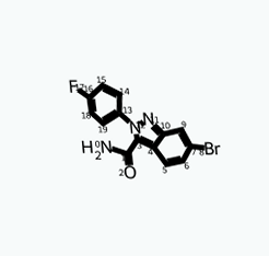 NC(=O)c1c2ccc(Br)cc2nn1-c1ccc(F)cc1